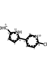 O=Cc1ccc(-c2ccc(Cl)nc2)[nH]1